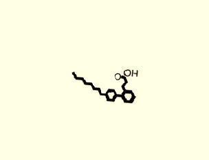 CCCCCCCCc1ccc(-c2ccccc2CCC(=O)O)cc1